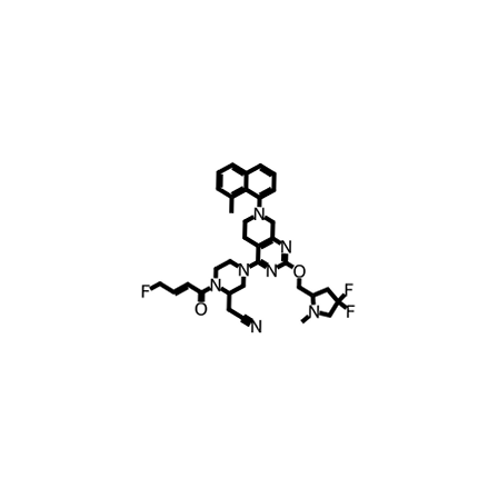 Cc1cccc2cccc(N3CCc4c(nc(OCC5CC(F)(F)CN5C)nc4N4CCN(C(=O)/C=C/CF)C(CC#N)C4)C3)c12